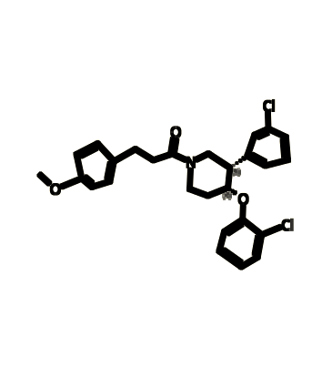 COc1ccc(CCC(=O)N2CC[C@@H](Oc3ccccc3Cl)[C@@H](c3cccc(Cl)c3)C2)cc1